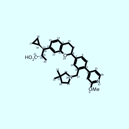 COc1cc(-c2ccc(C3CCc4ccc([C@H](C5CC5)[C@H](C)C(=O)O)cc4O3)cc2CN2CCC(C)(C)C2)ccn1